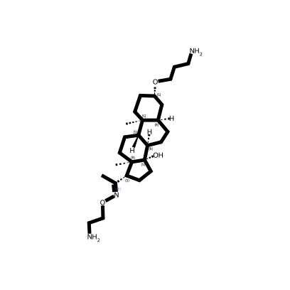 C/C(=N\OCCN)[C@H]1CC[C@]2(O)[C@@H]3CC[C@@H]4C[C@@H](OCCCN)CC[C@]4(C)[C@H]3CC[C@]12C